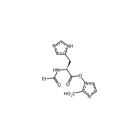 CCC(=O)N[C@@H](Cc1cnc[nH]1)C(=O)On1ccnc1C(=O)O